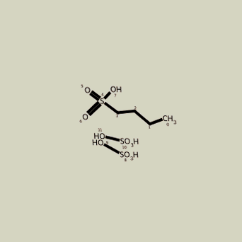 CCCCS(=O)(=O)O.O=S(=O)(O)O.O=S(=O)(O)O